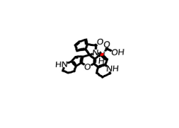 O=C(O)NN1C(=O)c2ccccc2C12c1ccc3c(c1Oc1c2ccc2c1CCCN2)CCCN3